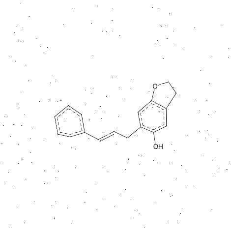 Oc1cc2c(cc1CC=Cc1ccccc1)OCC2